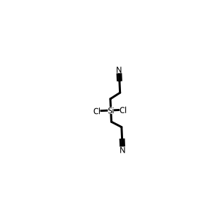 N#CCC[Si](Cl)(Cl)CCC#N